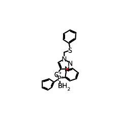 B[P-]([CH+]c1cn(CSc2ccccc2)nn1)(c1ccccc1)c1ccccc1